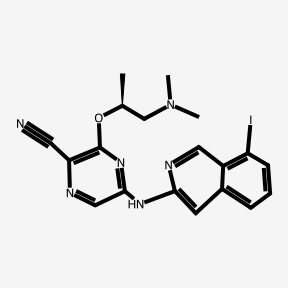 C[C@@H](CN(C)C)Oc1nc(Nc2cc3cccc(I)c3cn2)cnc1C#N